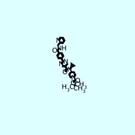 CC(C)(C)OC(=O)N1CCC(N(C(=O)c2cnc(-c3ccc(C(=O)NCc4ccccn4)cc3)nc2)C2CC2)CC1